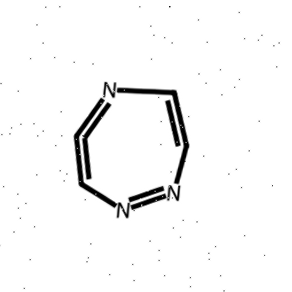 C1=CN=NC=CN=1